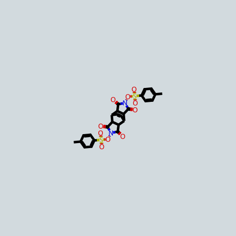 Cc1ccc(S(=O)(=O)ON2C(=O)C3C4C=CC(C3C2=O)C2C(=O)N(OS(=O)(=O)c3ccc(C)cc3)C(=O)C42)cc1